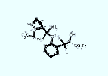 BC(B)(Oc1ccccc1C(F)(F)[C@H](O)C(=O)OCC)c1ccnn1CC(F)(F)F